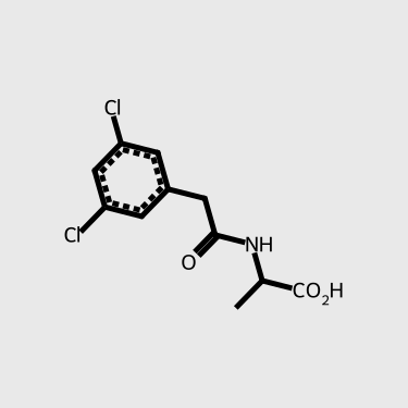 CC(NC(=O)Cc1cc(Cl)cc(Cl)c1)C(=O)O